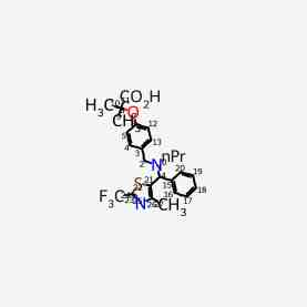 CCCN(Cc1ccc(OC(C)(C)C(=O)O)cc1)C(c1ccccc1)c1sc(C(F)(F)F)nc1C